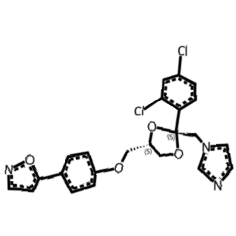 Clc1ccc([C@]2(Cn3ccnc3)OC[C@H](COc3ccc(-c4ccno4)cc3)O2)c(Cl)c1